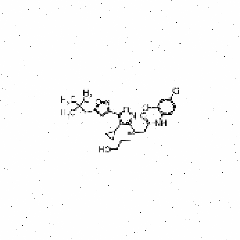 CC(C)(C)Cc1cc(-c2onc([C@@H](CCCO)CC(=O)Nc3ccc(Cl)cc3Cl)c2C2CC2)no1